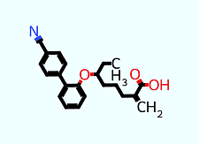 C=C(CCCC(CC)Oc1ccccc1-c1ccc(C#N)cc1)C(=O)O